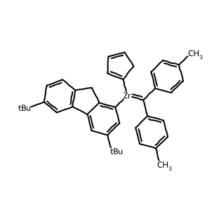 Cc1ccc([C](c2ccc(C)cc2)=[Zr]([C]2=CC=CC2)[c]2cc(C(C)(C)C)cc3c2Cc2ccc(C(C)(C)C)cc2-3)cc1